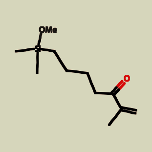 C=C(C)C(=O)CCCC[Si](C)(C)OC